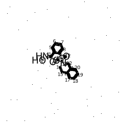 O=C(NO)c1ccccc1S(=O)(=O)N1CCc2ccccc2C1